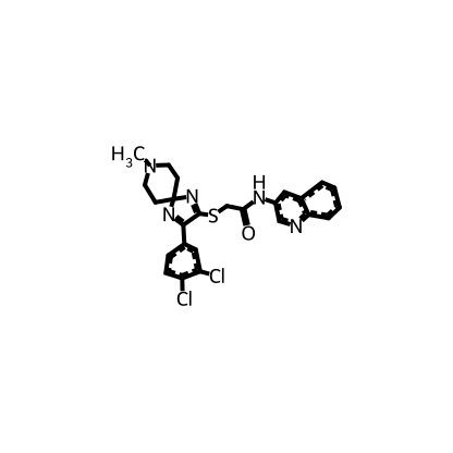 CN1CCC2(CC1)N=C(SCC(=O)Nc1cnc3ccccc3c1)C(c1ccc(Cl)c(Cl)c1)=N2